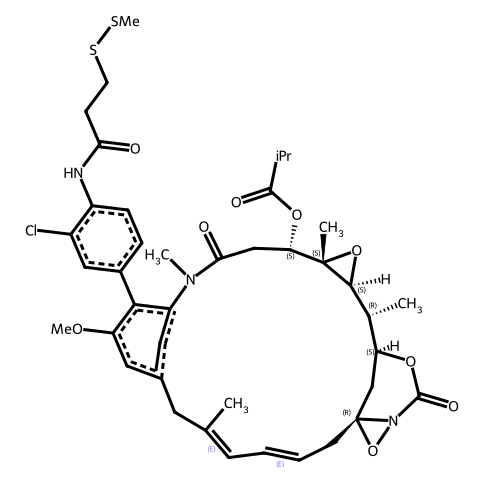 COc1cc2cc(c1-c1ccc(NC(=O)CCSSC)c(Cl)c1)N(C)C(=O)C[C@H](OC(=O)C(C)C)[C@]1(C)O[C@H]1[C@H](C)[C@@H]1C[C@@]3(C/C=C/C=C(\C)C2)ON3C(=O)O1